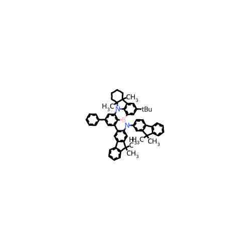 CC(C)(C)c1cc2c3c(c1)C1(C)CCCCC1(C)N3c1cc(-c3ccccc3)cc3c1B2N(c1ccc2c(c1)C(C)(C)c1ccccc1-2)c1cc2c(cc1-3)-c1ccccc1C2(C)C